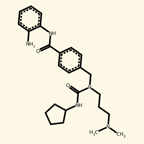 CN(C)CCCN(Cc1ccc(C(=O)Nc2ccccc2N)cc1)C(=O)NC1CCCC1